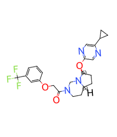 O=C(COc1cccc(C(F)(F)F)c1)N1CC[C@@H]2CC[C@H](Oc3cnc(C4CC4)cn3)N2C1